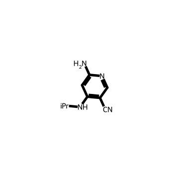 CC(C)Nc1cc(N)ncc1C#N